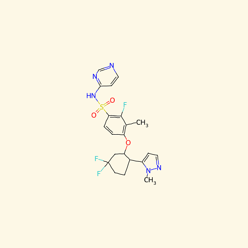 Cc1c(OC2CC(F)(F)CCC2c2ccnn2C)ccc(S(=O)(=O)Nc2ccncn2)c1F